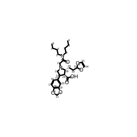 CCCCN(CCCC)C(=O)CN1CC(c2ccc3c(c2)OCO3)[C@H](C(=O)O)[C@H]1CCC1OC=CO1